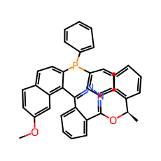 COc1ccc2ccc(P(c3ccccc3)c3ccccc3)c(-c3nnc(O[C@H](C)c4ccccc4)c4ccccc34)c2c1